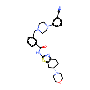 N#Cc1cccc(N2CCN(Cc3cccc(C(=O)Nc4nc5c(s4)C[C@@H](N4CCOCC4)CC5)c3)CC2)c1